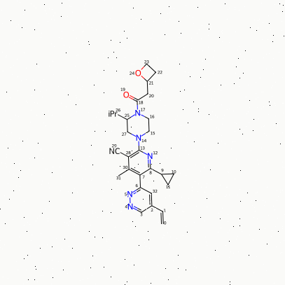 C=Cc1cnnc(-c2c(C3CC3)nc(N3CCN(C(=O)CC4CCO4)C(C(C)C)C3)c(C#N)c2C)c1